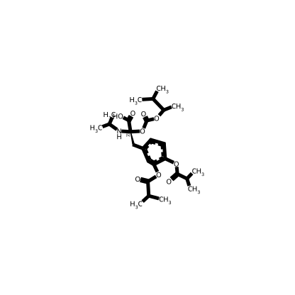 CC(C)N[C@@](Cc1ccc(OC(=O)C(C)C)c(OC(=O)C(C)C)c1)(OC(=O)OC(C)C(C)C)C(=O)O